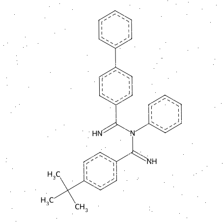 CC(C)(C)c1ccc(C(=N)N(C(=N)c2ccc(-c3ccccc3)cc2)c2ccccc2)cc1